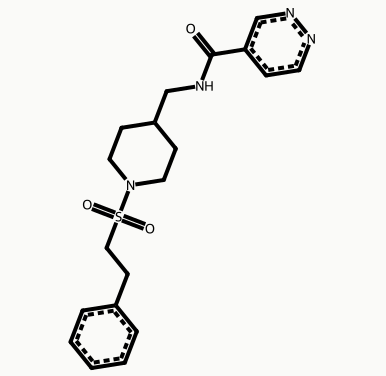 O=C(NCC1CCN(S(=O)(=O)CCc2ccccc2)CC1)c1ccnnc1